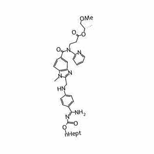 CCCCCCCOC(=O)/N=C(\N)c1ccc(NCc2nc3cc(C(=O)N(CCC(=O)O[C@@H](C)COC)c4ccccn4)ccc3n2C)cc1